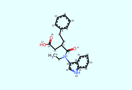 CCN(C(=O)C(CCc1ccccc1)CC(=O)O)c1c[nH]c2ccccc12